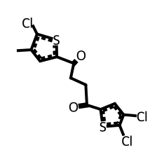 Cc1cc(C(=O)CCC(=O)c2cc(Cl)c(Cl)s2)sc1Cl